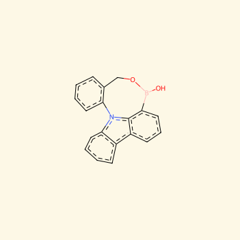 OB1OCc2ccccc2-n2c3ccccc3c3cccc1c32